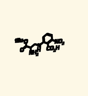 CC(C)(C)OC(=O)C(N)CNc1cccc([N+](=O)[O-])c1C(=O)O